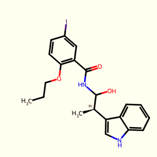 CCCOc1ccc(I)cc1C(=O)NC(O)[C@H](C)c1c[nH]c2ccccc12